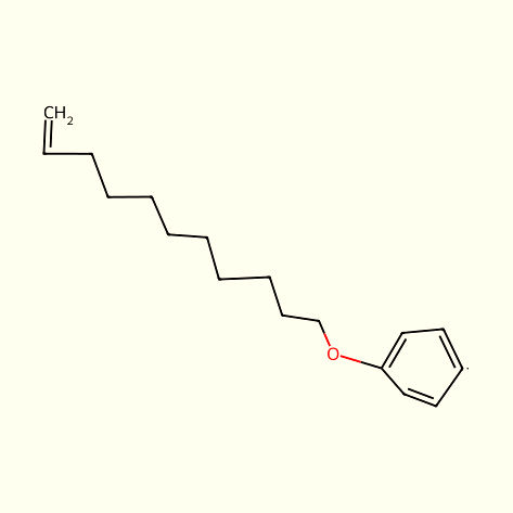 C=CCCCCCCCCCOc1cc[c]cc1